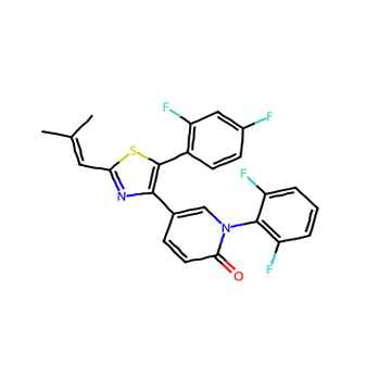 CC(C)=Cc1nc(-c2ccc(=O)n(-c3c(F)cccc3F)c2)c(-c2ccc(F)cc2F)s1